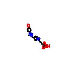 COc1ccc(N(C)N=Cc2cc[n+](CCCCS(=O)(=O)O)cc2)cc1